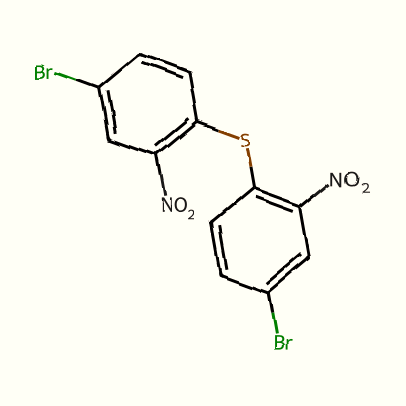 O=[N+]([O-])c1cc(Br)ccc1Sc1ccc(Br)cc1[N+](=O)[O-]